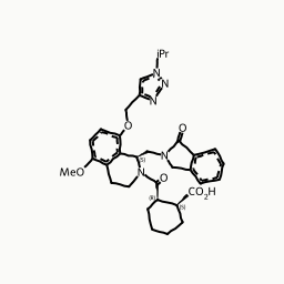 COc1ccc(OCc2cn(C(C)C)nn2)c2c1CCN(C(=O)[C@@H]1CCCC[C@@H]1C(=O)O)[C@@H]2CN1Cc2ccccc2C1=O